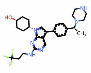 C[C@@H](c1ccc(-c2cn([C@H]3CC[C@H](O)CC3)c3nc(NCCC(F)(F)F)ncc23)cc1)N1CCNCC1